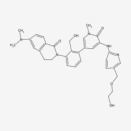 CN(C)c1ccc2c(c1)CCN(c1cccc(-c3cc(Nc4ccc(COCCO)cn4)c(=O)n(C)c3)c1CO)C2=O